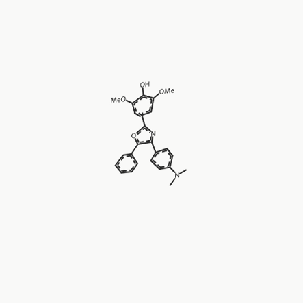 COc1cc(-c2nc(-c3ccc(N(C)C)cc3)c(-c3ccccc3)o2)cc(OC)c1O